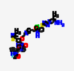 Cc1ncsc1-c1ccc(CNC(=O)[C@@H]2CCCN2C(=O)[C@@H](CNC(=O)C2(F)CC2)C(C)(C)C)c(OCCCN2CCC(CCC(=O)Nc3cccc(Sc4cnc(N5CCC(C)(CN)CC5)cn4)c3Cl)CC2)c1